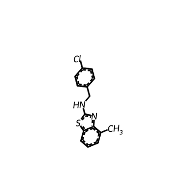 Cc1cccc2sc(NCc3ccc(Cl)cc3)nc12